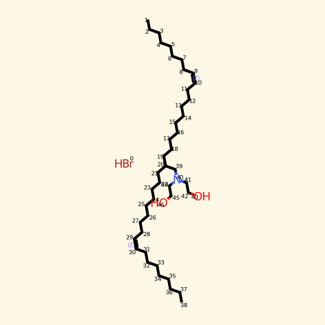 Br.CCCCCCCC/C=C\CCCCCCCCCC(CCCCCCCC/C=C\CCCCCCCC)CN(CCO)CCO